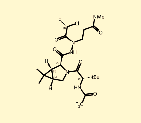 CNC(=O)CCN(NC(=O)[C@@H]1[C@@H]2[C@H](CN1C(=O)[C@@H](NC(=O)C(F)(F)F)C(C)(C)C)C2(C)C)C(=O)[C@H](F)Cl